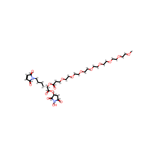 COCCOCCOCCOCCOCCOCCOCCOCCC(=O)O[C@@H](CCCCN1C(=O)C=CC1=O)C(=O)OC1CC(=O)N(O)C1=O